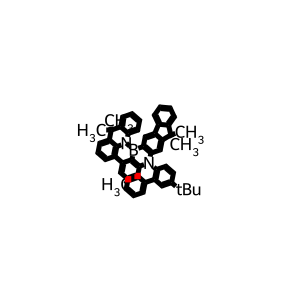 Cc1cc2c3c(c1)N(c1ccc(C(C)(C)C)cc1-c1ccccc1)c1cc4c(cc1B3N1c3ccccc3C(C)(C)c3cccc-2c31)-c1ccccc1C4(C)C